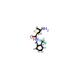 Nc1[c]sc(C(=O)NCc2ccccc2C(F)(F)F)c1